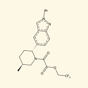 CC(C)n1cc2cc([C@H]3CC[C@H](C)CN3C(=O)C(=O)OCC(F)(F)F)ccc2n1